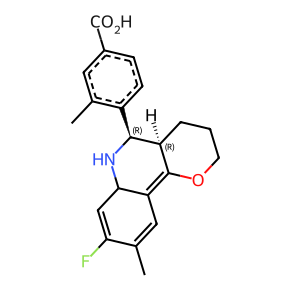 CC1=CC2=C3OCCC[C@@H]3[C@H](c3ccc(C(=O)O)cc3C)NC2C=C1F